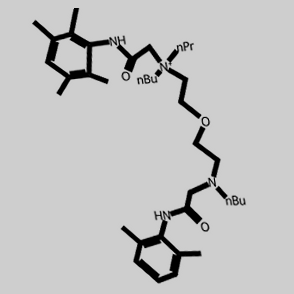 CCCCN(CCOCC[N+](CCC)(CCCC)CC(=O)Nc1c(C)c(C)cc(C)c1C)CC(=O)Nc1c(C)cccc1C